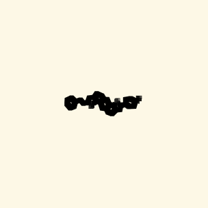 Fc1ccc(C2Cc3ccc4cc5c6c(ccc5cc4c3S2)CC(CCc2ccccc2)S6)cc1